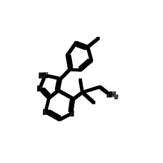 Cc1ccc(-c2[nH]nc3ncnc(C(C)(C)CN)c23)cc1